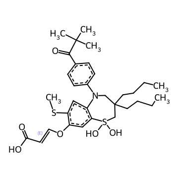 CCCCC1(CCCC)CN(c2ccc(C(=O)C(C)(C)C)cc2)c2cc(SC)c(O/C=C/C(=O)O)cc2S(O)(O)C1